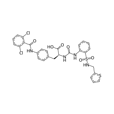 O=C(Nc1ccccc1S(=O)(=O)NCc1cccs1)N[C@@H](Cc1ccc(NC(=O)c2c(Cl)cccc2Cl)cc1)C(=O)O